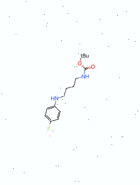 CC(C)(C)OC(=O)NCCCCNc1ccc(F)cc1